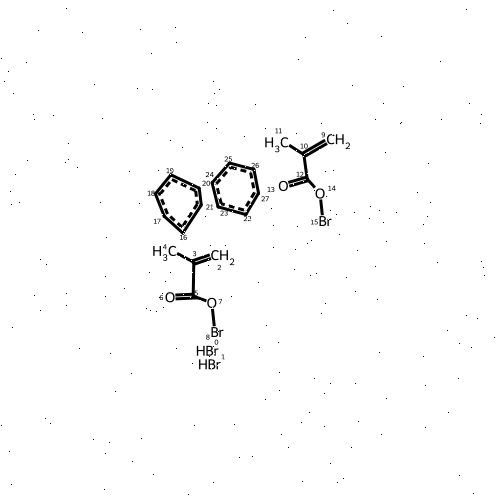 Br.Br.C=C(C)C(=O)OBr.C=C(C)C(=O)OBr.c1ccccc1.c1ccccc1